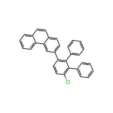 Clc1ccc(-c2ccc3ccc4ccccc4c3c2)c(-c2ccccc2)c1-c1ccccc1